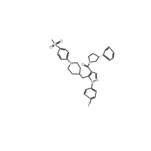 CS(=O)(=O)c1ccc(N2CCC(Cc3c(C(=O)N4CC[C@H](c5ccccc5)C4)cnn3-c3ccc(F)cc3)CC2)cc1